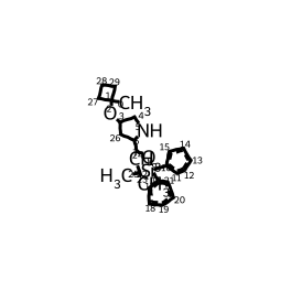 CC1(OC2CNC(CO[Si](c3ccccc3)(c3ccccc3)C(C)(C)C)C2)CCC1